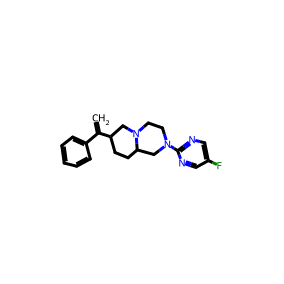 C=C(c1ccccc1)C1CCC2CN(c3ncc(F)cn3)CCN2C1